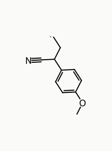 [CH2]CC(C#N)c1ccc(OC)cc1